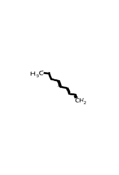 C=CC=C/[C]=C/CCC